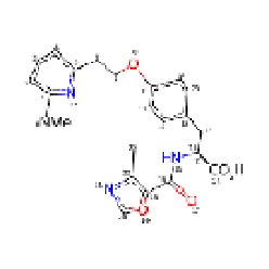 CNc1cccc(CCOc2ccc(C[C@H](NC(=O)c3ocnc3C)C(=O)O)cc2)n1